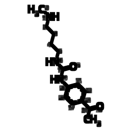 CNCCCCNC(=O)Nc1ccc(C(C)=O)cc1